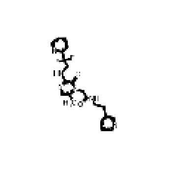 Cc1cnc(NCC(F)(F)c2ccccn2)c(=O)n1CC(=O)NCCc1cccnc1